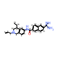 C=CCN1Cc2ccc(NC(=O)c3ccc4cc(C(=N)N)ccc4c3)cc2C(CC)C1